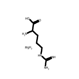 N=C(N)NCCCC(N)C(=O)O.[MgH2]